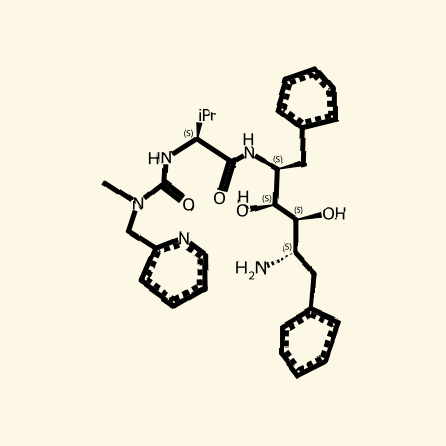 CC(C)[C@H](NC(=O)N(C)Cc1ccccn1)C(=O)N[C@@H](Cc1ccccc1)[C@H](O)[C@@H](O)[C@@H](N)Cc1ccccc1